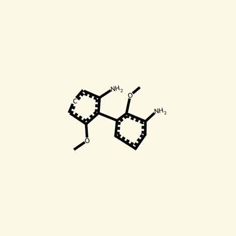 COc1cccc(N)c1-c1cccc(N)c1OC